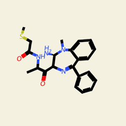 CSCC(=O)NC(C)C(=O)C1N=C(c2ccccc2)c2ccccc2N(C)[C@@H]1N